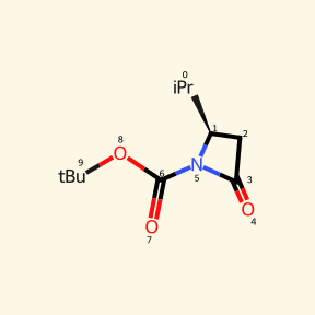 CC(C)[C@H]1CC(=O)N1C(=O)OC(C)(C)C